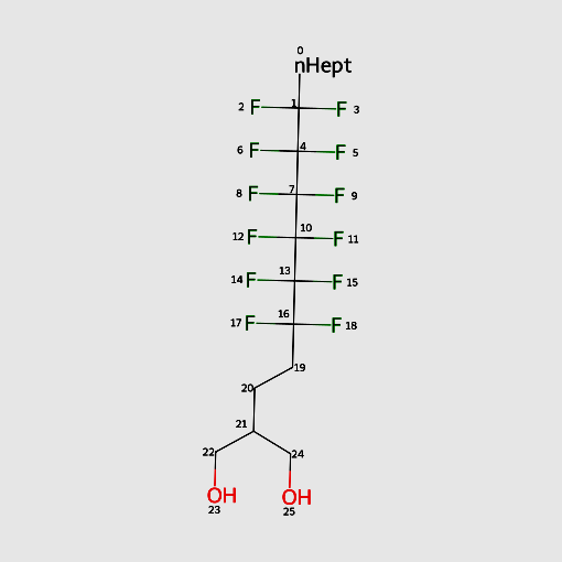 CCCCCCCC(F)(F)C(F)(F)C(F)(F)C(F)(F)C(F)(F)C(F)(F)CCC(CO)CO